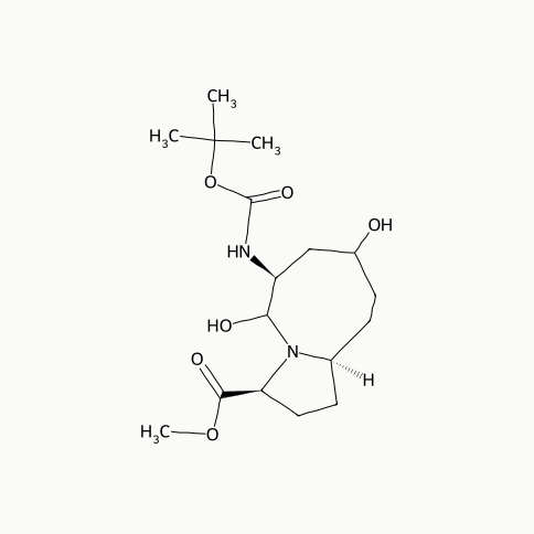 COC(=O)[C@@H]1CC[C@@H]2CCC(O)C[C@H](NC(=O)OC(C)(C)C)C(O)N21